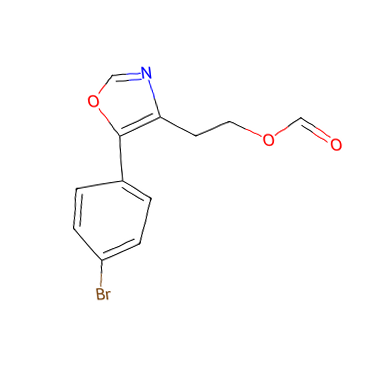 O=COCCc1ncoc1-c1ccc(Br)cc1